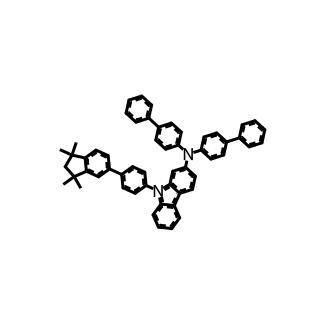 CC1(C)CC(C)(C)c2cc(-c3ccc(-n4c5ccccc5c5ccc(N(c6ccc(-c7ccccc7)cc6)c6ccc(-c7ccccc7)cc6)cc54)cc3)ccc21